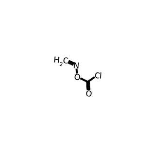 C=NOC(=O)Cl